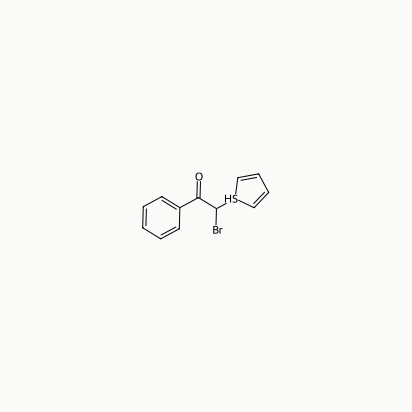 O=C(c1ccccc1)C(Br)[SH]1C=CC=C1